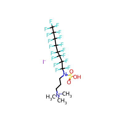 C[N+](C)(C)CCCN(C(F)(F)C(F)(F)C(F)(F)C(F)(F)C(F)(F)C(F)(F)C(F)(F)C(F)(F)F)S(=O)(=O)O.[I-]